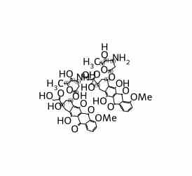 COc1cccc2c1C(=O)c1c(O)c3c(c(O)c1C2=O)C[C@@](O)(C(=O)CO)C[C@@H]3O[C@H]1C[C@H](N)[C@@H](O)[C@H](C)O1.COc1cccc2c1C(=O)c1c(O)c3c(c(O)c1C2=O)C[C@@](O)(C(=O)CO)C[C@@H]3O[C@H]1C[C@H](N)[C@H](O)[C@H](C)O1